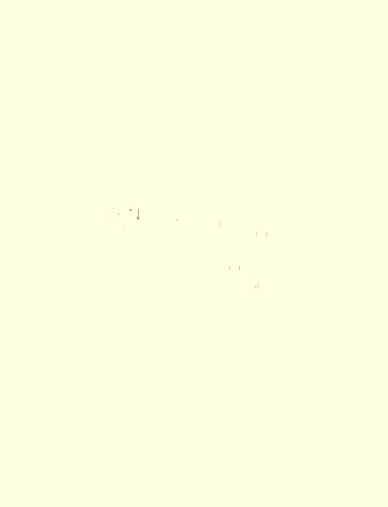 CC(/C=C/CC(=O)O[Si](C)(C)C)[N+](=O)[O-]